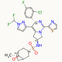 C[C@H]1CC2C[C@@H](S(=O)(=O)N[C@H]3CC4=C(c5ccn(C(F)F)n5)[C@H](c5ccc(F)cc5Cl)N=C(c5nccs5)N4C3)CC1C2=O